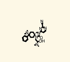 CN(C)C(O)CN1C(=O)N(c2ccnc(C#N)n2)C[C@]12CC[C@](c1ccccc1)(N(C)C)CC2